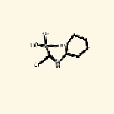 CCC(NC1CCCCC1)[Si](O)(O)O